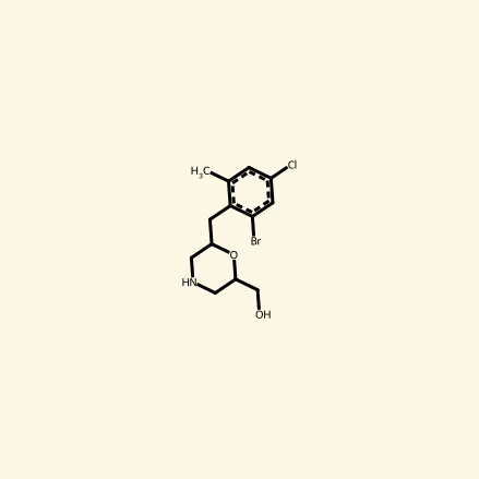 Cc1cc(Cl)cc(Br)c1CC1CNCC(CO)O1